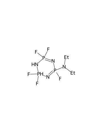 CCN(CC)P1(F)=N[PH](F)(F)NP(F)(F)=N1